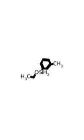 CCO[SiH2]c1cccc(C)c1